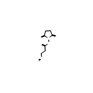 N=NCCC(=O)ON1C(=O)CCC1=O